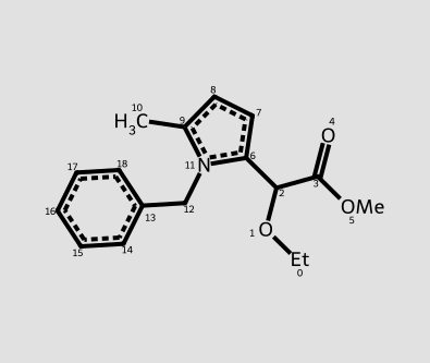 CCOC(C(=O)OC)c1ccc(C)n1Cc1ccccc1